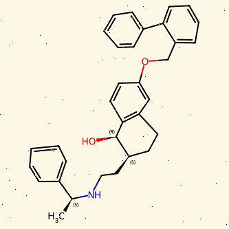 C[C@H](NCC[C@@H]1CCc2cc(OCc3ccccc3-c3ccccc3)ccc2[C@@H]1O)c1ccccc1